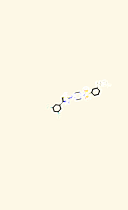 O=[N+]([O-])c1cccc(S(=O)(=O)N2CCN(c3nc(-c4cc(F)cc(F)c4)cs3)CC2)c1